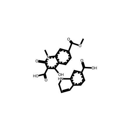 COC(=O)c1ccc2c(O)c(C(=O)O)c(=O)n(C)c2c1.O=C(O)c1ccc2c(c1)NCC=C2